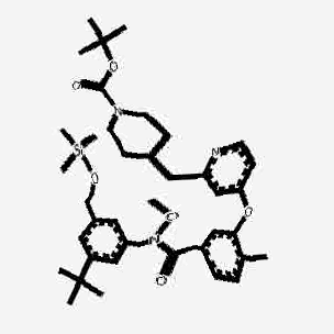 CON(C(=O)c1ccc(C)c(Oc2ccnc(CC3CCN(C(=O)OC(C)(C)C)CC3)c2)c1)c1cc(CO[Si](C)(C)C)cc(C(C)(C)C)c1